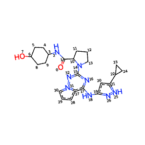 O=C(NC1CCC(O)CC1)C1CCCN1c1nc(Nc2cc(C3CC3)[nH]n2)c2cccn2n1